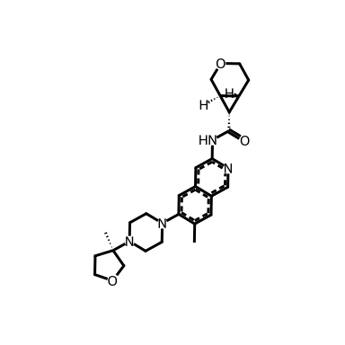 Cc1cc2cnc(NC(=O)[C@H]3[C@H]4CCOC[C@@H]43)cc2cc1N1CCN([C@]2(C)CCOC2)CC1